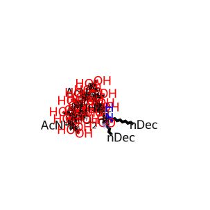 CCCCCCCCCCCCC/C=C/[C@@H](O)[C@H](CO[C@@H]1OC(CO)[C@@H](O[C@@H]2OC(CO)[C@H](O[C@@H]3OC(CO)[C@H](O)[C@H](O)C3NC(C)=O)[C@H](O[C@H]3OC(CO)[C@H](O)[C@H](O[C@@H]4OC(CO)[C@@H](O[C@@H]5OC(CO)[C@H](O)[C@H](O[C@]6(C(=O)O)CC(O)[C@@H](NC(C)=O)C([C@H](O)[C@H](O)CO)O6)C5O)[C@H](O[C@H]5OC(C)[C@@H](O)C(O)[C@@H]5O)C4NC(C)=O)C3O)C2O)[C@H](O)C1O)NC(=O)CCCCCCCCCCCCCCCCC